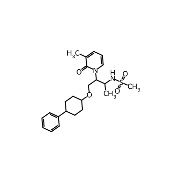 Cc1cccn(C(COC2CCC(c3ccccc3)CC2)C(C)NS(C)(=O)=O)c1=O